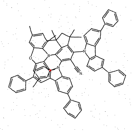 Cc1cc(C)c2c(c1)Oc1cc(C)cc(C)c1B2c1c(-n2c3ccc(-c4ccccc4)cc3c3cc(-c4ccccc4)ccc32)c(C#N)c(-n2c3ccc(-c4ccccc4)cc3c3cc(-c4ccccc4)ccc32)c2c1C(C)(C)CC2(C)C